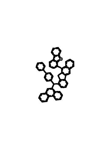 c1ccc(-c2ccc(C(c3cccc4c3Cc3c-4cc4ccccc4c3-c3cccc4c3oc3ccccc34)c3cc4ccccc4c4ccccc34)cc2)cc1